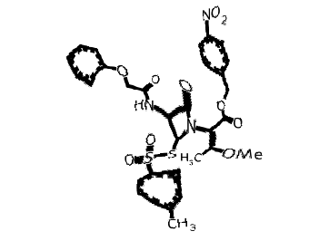 CO/C(C)=C(\C(=O)OCc1ccc([N+](=O)[O-])cc1)N1C(=O)C(NC(=O)COc2ccccc2)C1SS(=O)(=O)c1ccc(C)cc1